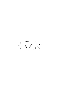 C[C@@](F)(C(=O)O)c1ccc(OS(=O)(=O)C(F)(F)F)cc1